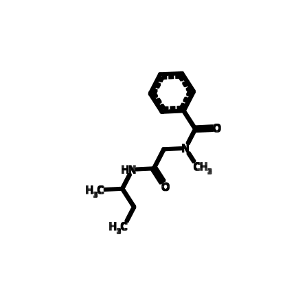 CCC(C)NC(=O)CN(C)C(=O)c1ccccc1